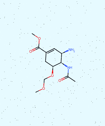 COCO[C@H]1CC(C(=O)OC)=C[C@@H](N)[C@H]1NC(C)=O